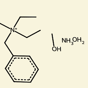 CC[N+](CC)(CC)Cc1ccccc1.CO.N.O